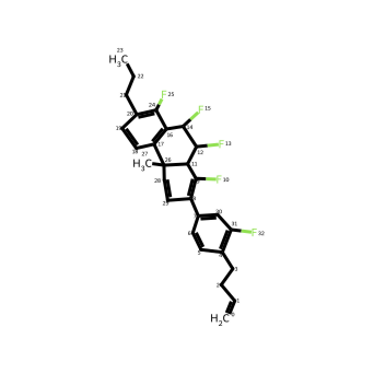 C=CCCc1ccc(C2=C(F)C3C(F)C(F)c4c(ccc(CCC)c4F)C3(C)C=C2)cc1F